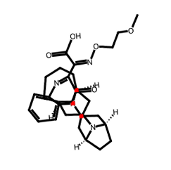 COCCO/N=C(\C(=O)O)c1nc2ccccc2n(C2C[C@H]3CC[C@@H](C2)N3C2C[C@H]3CCCC[C@@H](C2)C3)c1=O